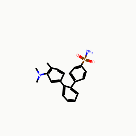 Cc1ccc(-c2ccccc2-c2ccc(S(N)(=O)=O)cc2)cc1N(C)C